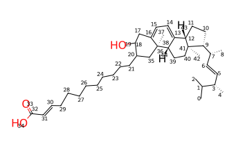 CC(C)[C@@H](C)C=C[C@@H](C)[C@H]1CC[C@H]2C3=CC=C4CC(O)C(CCCCCCCCC/C=C/C(=O)O)C[C@]4(C)[C@H]3CC[C@]12C